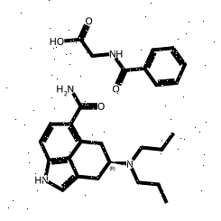 CCCN(CCC)[C@H]1Cc2c[nH]c3ccc(C(N)=O)c(c23)C1.O=C(O)CNC(=O)c1ccccc1